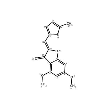 COc1cc(OC)c2c(c1)O/C(=C\c1ccc(C)s1)C2=O